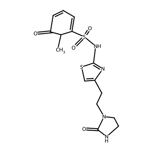 CC1C(=O)C=CC=C1S(=O)(=O)Nc1nc(CCN2CCNC2=O)cs1